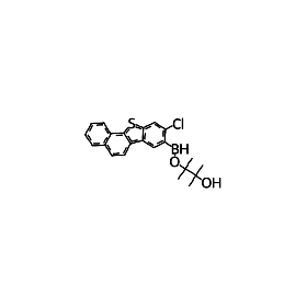 CC(C)(O)C(C)(C)OBc1cc2c(cc1Cl)sc1c3ccccc3ccc21